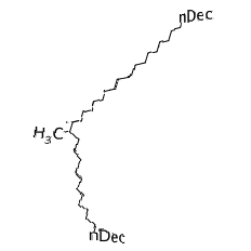 CCCCCCCCCCCCCCCCCCCCCCCCCCC[CH]C(C)CCCCCCCCCCCCCCCCCCCCC